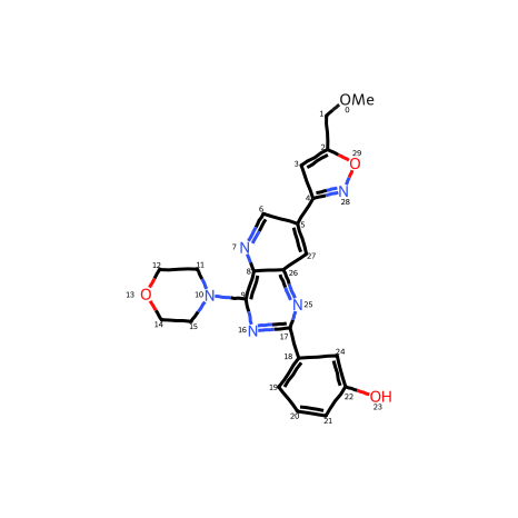 COCc1cc(-c2cnc3c(N4CCOCC4)nc(-c4cccc(O)c4)nc3c2)no1